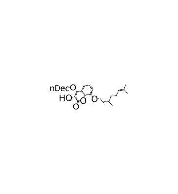 CCCCCCCCCCOc1c(O)c(=O)oc2c(OCC=C(C)CCC=C(C)C)cccc12